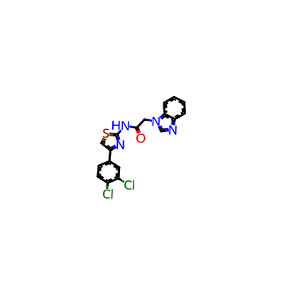 O=C(Cn1cnc2ccccc21)Nc1nc(-c2ccc(Cl)c(Cl)c2)cs1